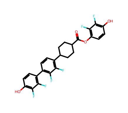 O=C(Oc1ccc(O)c(F)c1F)C1CCC(c2ccc(-c3ccc(O)c(F)c3F)c(F)c2F)CC1